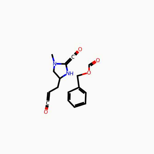 CN1CC(CC=C=O)NC1=C=O.O=COCc1ccccc1